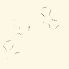 COC(=O)c1cccc(N2CC(O)C(NC(=O)OCC3c4ccccc4-c4ccccc43)C2=O)c1